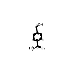 NC(=O)c1ccc(CO)cc1